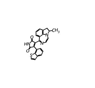 CC1Cc2cccc3c2N1C=CN=C3C1=C(c2cccc3ccsc23)C(=O)NC1=O